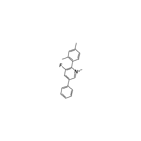 Cc1ccc(-c2c(F)cc(-c3ccccc3)c[n+]2C)c(C)c1